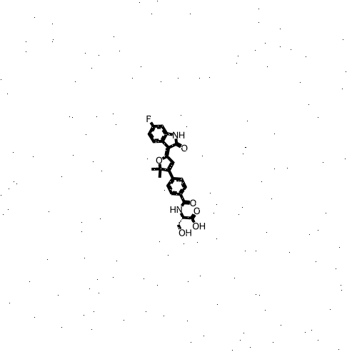 CC1(C)O/C(=C2/C(=O)Nc3cc(F)ccc32)C=C1c1ccc(C(=O)N[C@@H](CO)C(=O)O)cc1